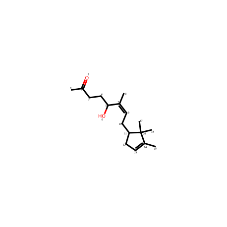 CC(=O)CCC(O)C(C)=CCC1CC=C(C)C1(C)C